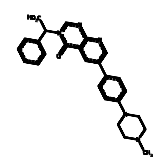 CN1CCN(c2ccc(-c3cnc4ncn(C(C(=O)O)c5ccccc5)c(=O)c4c3)cc2)CC1